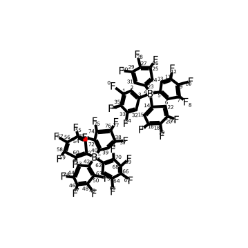 Fc1cc([B-](c2cc(F)c(F)c(F)c2)(c2cc(F)c(F)c(F)c2)c2cc(F)c(F)c(F)c2)cc(F)c1F.Fc1cc([B-](c2cc(F)c(F)c(F)c2F)(c2cc(F)c(F)c(F)c2F)c2cc(F)c(F)c(F)c2F)c(F)c(F)c1F